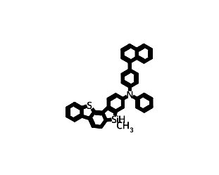 C[SiH]1C2=C(C=CC(N(c3ccccc3)c3ccc(-c4cccc5ccccc45)cc3)C2)C2=c3sc4ccccc4c3=CCC21